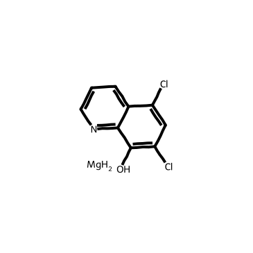 Oc1c(Cl)cc(Cl)c2cccnc12.[MgH2]